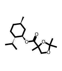 CC(C)[C@@H]1CC[C@@H](C)C[C@H]1OC(=O)C1(C)COC(C)(C)O1